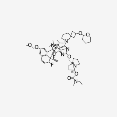 C#CC1(C#C[Si](C(C)C)(C(C)C)C(C)C)c2c(cc(OCOC)cc2-c2ncc3c(N4CCCC5(CC(OC6CCCCO6)C5)C4)nc(OC[C@]45CCCN4[C@@H](OC(=O)N(C)CC)CC5)nc3c2F)C=CC1F